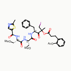 COC[C@H](NC(=O)c1cnc(C)s1)C(=O)N[C@@H](COC)C(=O)N[C@@H](Cc1ccccc1)C(=O)C(C)(CI)OC(=O)CCc1ccccc1OC(C)=O